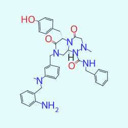 CN(Cc1ccccc1N)c1cccc(CN2C[C@H]3N(C(=O)CN(C)N3C(=O)NCc3ccccc3)[C@@H](Cc3ccc(O)cc3)C2=O)c1